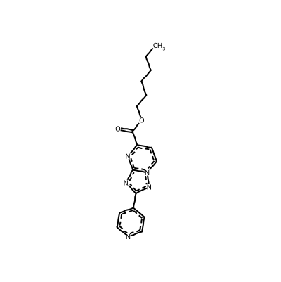 CCCCCCOC(=O)c1ccn2nc(-c3ccncc3)nc2n1